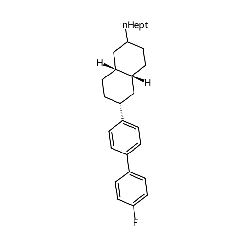 CCCCCCCC1CC[C@@H]2C[C@H](c3ccc(-c4ccc(F)cc4)cc3)CC[C@@H]2C1